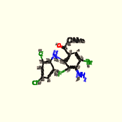 COC(=O)c1cc(Br)c(N)c(F)c1Nc1ccc(Cl)cc1Cl